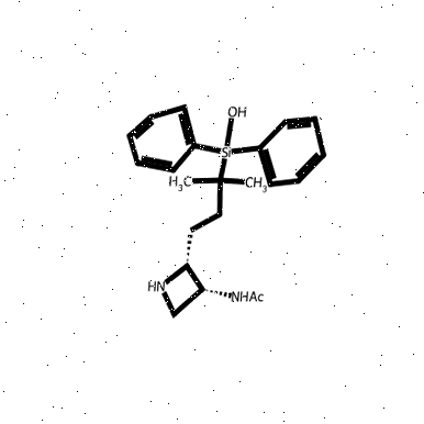 CC(=O)N[C@@H]1CN[C@@H]1CCC(C)(C)[Si](O)(c1ccccc1)c1ccccc1